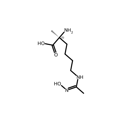 CC(=NO)NCCCC[C@](C)(N)C(=O)O